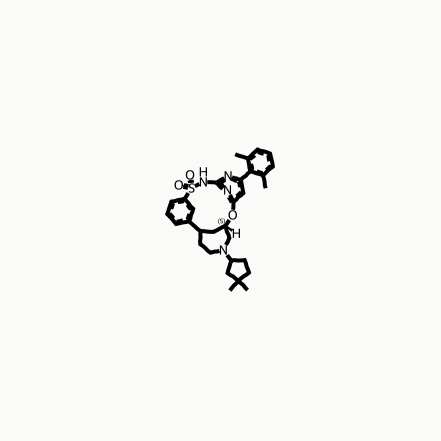 Cc1cccc(C)c1-c1cc2nc(n1)NS(=O)(=O)c1cccc(c1)C1CCN(C3CCC(C)(C)C3)C[C@H](C1)O2